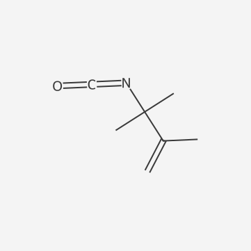 C=C(C)C(C)(C)N=C=O